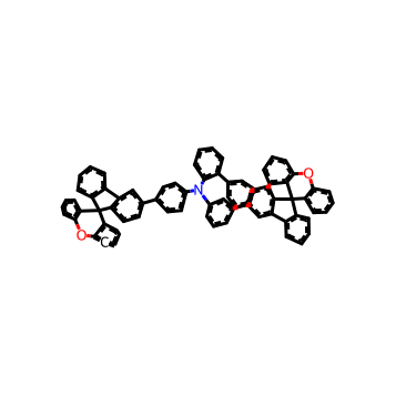 c1ccc(-c2ccccc2N(c2ccc(-c3ccc4c(c3)-c3ccccc3C43c4ccccc4Oc4ccccc43)cc2)c2cccc(-c3ccc4c(c3)-c3ccccc3C43c4ccccc4Oc4ccccc43)c2)cc1